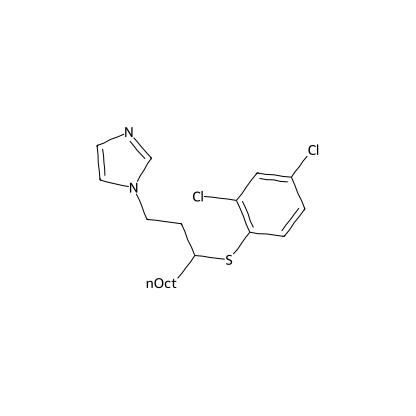 CCCCCCCCC(CCn1ccnc1)Sc1ccc(Cl)cc1Cl